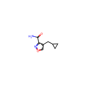 NC(=O)c1nocc1CC1CC1